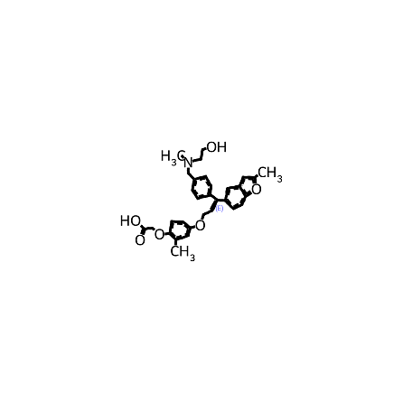 Cc1cc2cc(/C(=C/COc3ccc(OCC(=O)O)c(C)c3)c3ccc(CN(C)CCO)cc3)ccc2o1